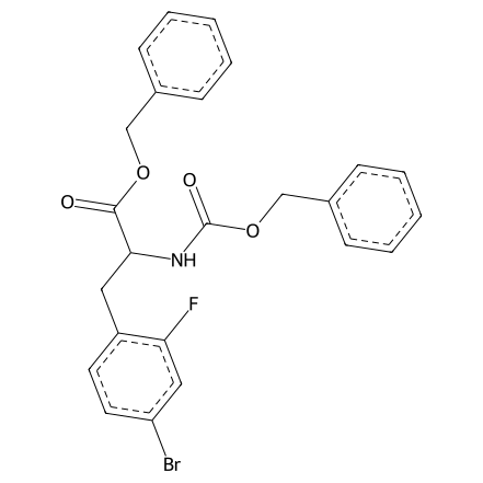 O=C(NC(Cc1ccc(Br)cc1F)C(=O)OCc1ccccc1)OCc1ccccc1